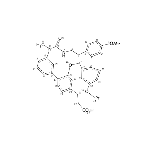 COc1ccc(CCNC(=O)N(C)c2cccc(-c3ccc(CCC(=O)O)cc3OCc3cccc(OC(C)C)c3)c2)cc1